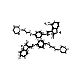 Cc1cccc2c1C(=CNc1ccc(OCCCN3CCCCC3)cc1)C(=O)N2.O=C1Nc2cc(F)ccc2C1=CNc1ccc(OCCCN2CCCCC2)cc1